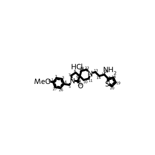 COc1ccc(CN2CCC3(CCN(CC[C@H](N)c4cccs4)CC3)C2=O)cc1.Cl